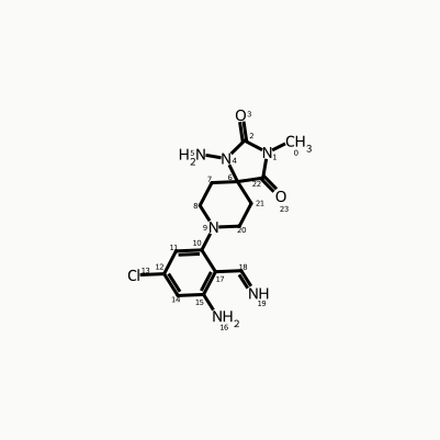 CN1C(=O)N(N)C2(CCN(c3cc(Cl)cc(N)c3C=N)CC2)C1=O